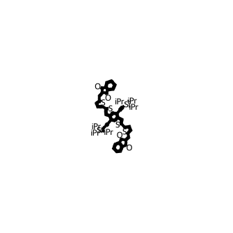 CC(C)[Si](C#Cc1c2cc(-c3ccc(C=C4C(=O)c5ccccc5C4=O)s3)sc2c(C#C[Si](C(C)C)(C(C)C)C(C)C)c2cc(-c3ccc(C=C4C(=O)c5ccccc5C4=O)s3)sc12)(C(C)C)C(C)C